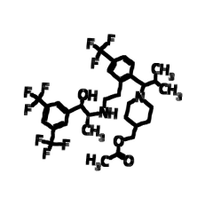 CC(=O)OCC1CCN(C(c2ccc(C(F)(F)F)cc2CCN[C@@H](C)[C@H](O)c2cc(C(F)(F)F)cc(C(F)(F)F)c2)C(C)C)CC1